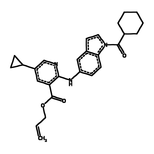 C=CCOC(=O)c1cc(C2CC2)cnc1Nc1ccc2c(ccn2C(=O)C2CCCCC2)c1